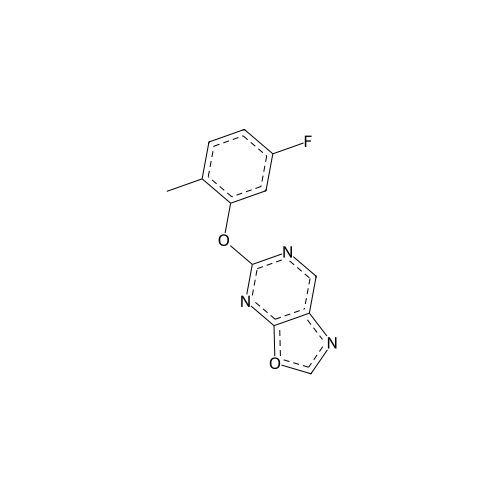 Cc1ccc(F)cc1Oc1ncc2ncoc2n1